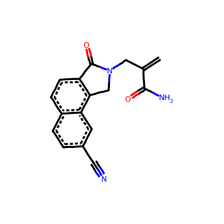 C=C(CN1Cc2c(ccc3ccc(C#N)cc23)C1=O)C(N)=O